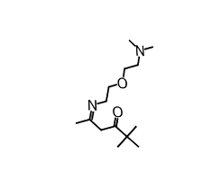 CC(CC(=O)C(C)(C)C)=NCCOCCN(C)C